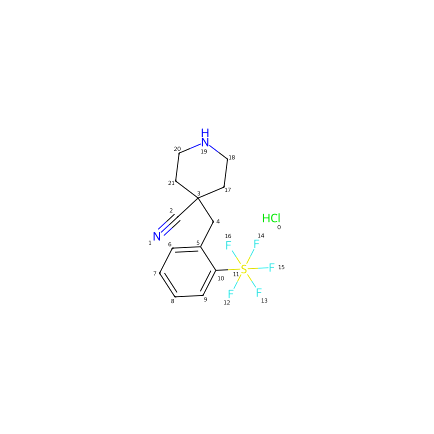 Cl.N#CC1(Cc2ccccc2S(F)(F)(F)(F)F)CCNCC1